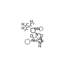 CC(C)(C)c1ccc(N(C(=O)[C@H]2CCCN2)C(C(=O)NC2CCCCC2)c2c[nH]nn2)cc1